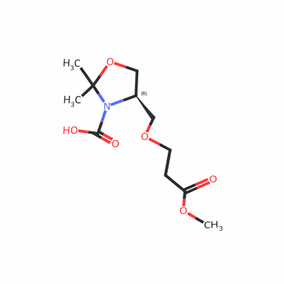 COC(=O)CCOC[C@@H]1COC(C)(C)N1C(=O)O